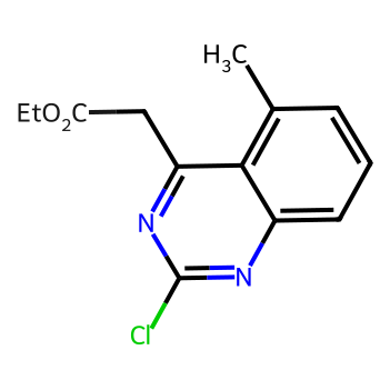 CCOC(=O)Cc1nc(Cl)nc2cccc(C)c12